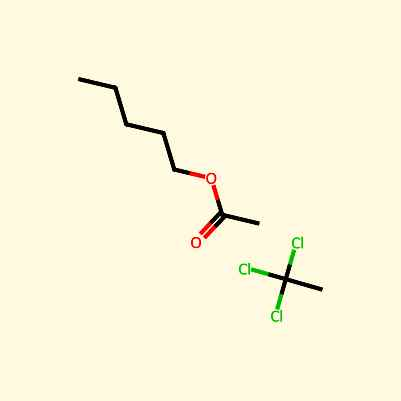 CC(Cl)(Cl)Cl.CCCCCOC(C)=O